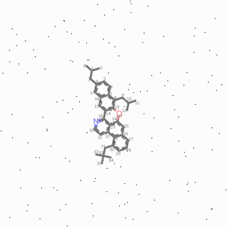 CC(C)Cc1ccc2c(CC(C)C)c3c(cc2c1)-c1nccc2c1c(cc1cccc(CC(C)(C)C)c12)O3